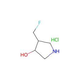 Cl.OC1CNCC1CF